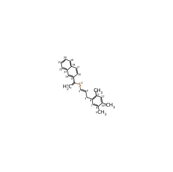 C=C(S/C=C/Cc1cc(C)c(C)cc1C)c1ccc2ccccc2c1